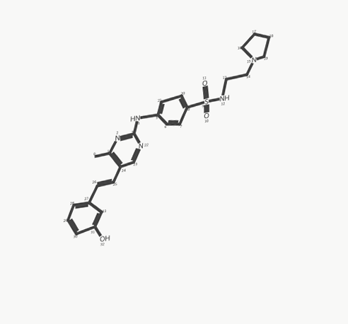 Cc1nc(Nc2ccc(S(=O)(=O)NCCN3CCCC3)cc2)ncc1C=Cc1cccc(O)c1